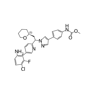 COC(=O)Nc1ccc(-c2cnn(C(C[C@@H]3CCCCO3)c3ccc(-c4c(N)ccc(Cl)c4F)cn3)c2)cc1